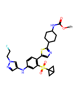 CC(C)OC(=O)NC1CCC(c2ncc(-c3ccc(Nc4cnn(CCF)c4)cc3S(=O)(=O)C34CC3C4)s2)CC1